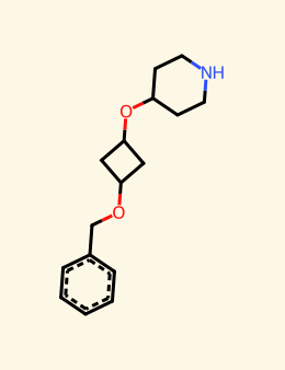 c1ccc(COC2CC(OC3CCNCC3)C2)cc1